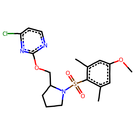 COc1cc(C)c(S(=O)(=O)N2CCCC2COc2nccc(Cl)n2)c(C)c1